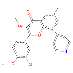 COc1ccc(-c2oc3c(-c4ccncc4)cc(C)cc3c(=O)c2OC)cc1Cl